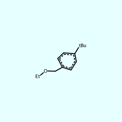 CCOCc1ccc(C(C)(C)C)cc1